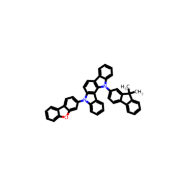 CC1(C)c2ccccc2-c2ccc(-n3c4ccccc4c4ccc5c(c6ccccc6n5-c5ccc6c(c5)oc5ccccc56)c43)cc21